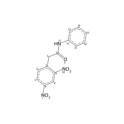 O=C(Cc1ccc([N+](=O)[O-])cc1[N+](=O)[O-])Nc1ccccc1